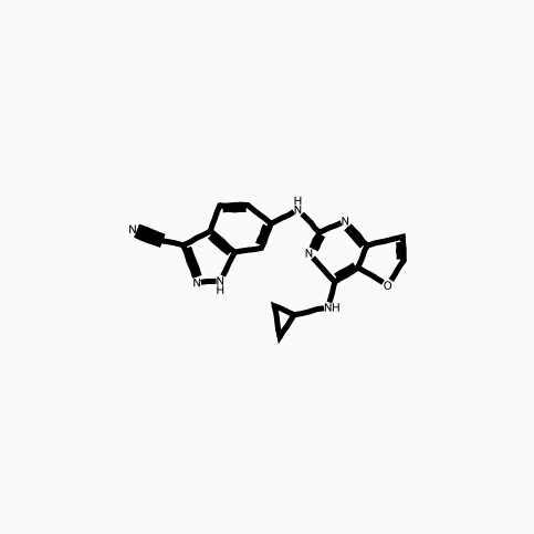 N#Cc1n[nH]c2cc(Nc3nc(NC4CC4)c4occc4n3)ccc12